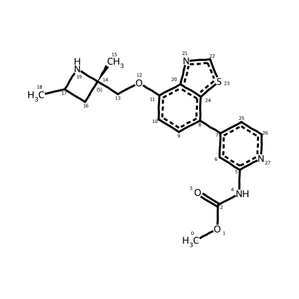 COC(=O)Nc1cc(-c2ccc(OC[C@]3(C)CC(C)N3)c3ncsc23)ccn1